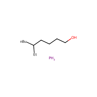 CCCCC(CC)CCCCO.P